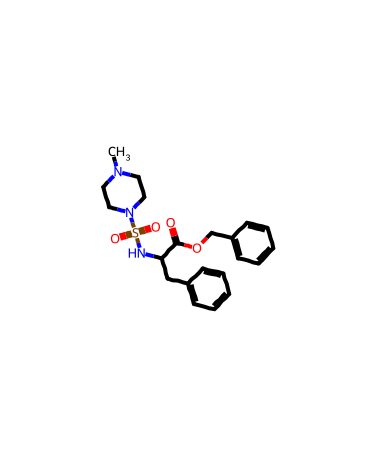 CN1CCN(S(=O)(=O)NC(Cc2ccccc2)C(=O)OCc2ccccc2)CC1